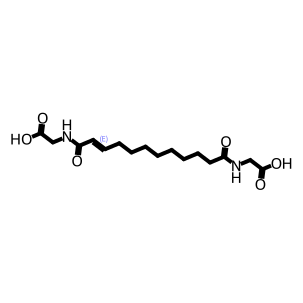 O=C(O)CNC(=O)/C=C/CCCCCCCCC(=O)NCC(=O)O